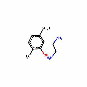 Cc1ccc(S(=O)(=O)O)cc1O.NCCN